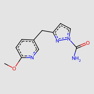 COc1ccc(Cc2ccn(C(N)=O)n2)cn1